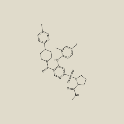 CNC(=O)C1CCCN1S(=O)(=O)c1cc(Nc2ccc(F)cc2C)c(C(=O)N2CCC(c3ccc(F)cc3)CC2)cn1